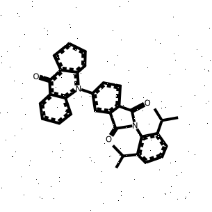 CC(C)c1cccc(C(C)C)c1N1C(=O)c2ccc(-n3c4ccccc4c(=O)c4ccccc43)cc2C1=O